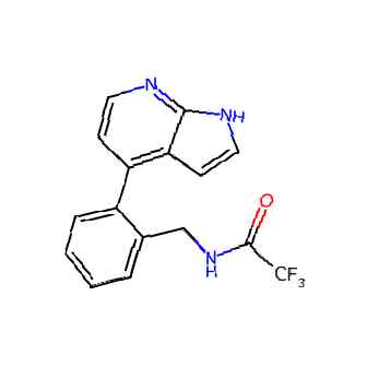 O=C(NCc1ccccc1-c1ccnc2[nH]ccc12)C(F)(F)F